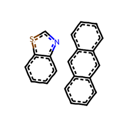 c1ccc2cc3ccccc3cc2c1.c1ccc2scnc2c1